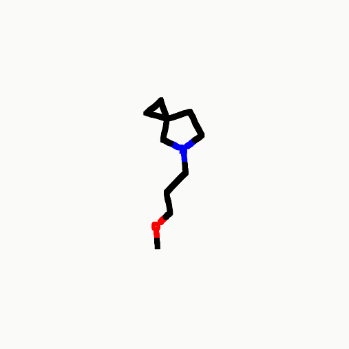 COCCCN1CCC2(CC2)C1